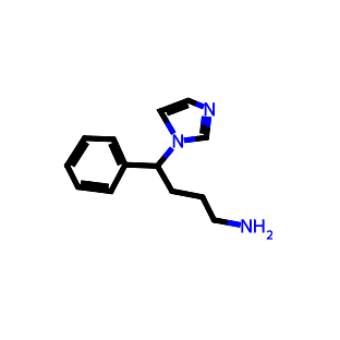 NCCCC(c1ccccc1)n1ccnc1